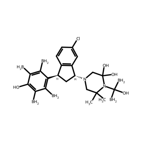 Bc1c(B)c([C@@H]2C[C@@H](N3CC(C)(C)N(C(B)(B)O)C(O)(O)C3)c3cc(Cl)ccc32)c(B)c(B)c1O